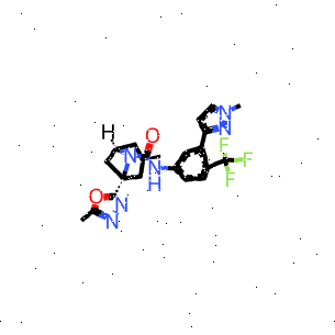 Cc1nnc([C@]23C[C@H](C)C[C@H](C2)N3C(=O)Nc2ccc(C(F)(F)F)c(-c3ccn(C)n3)c2)o1